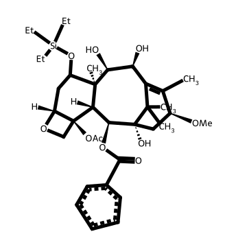 CC[Si](CC)(CC)OC1C[C@H]2OC[C@@]2(OC(C)=O)[C@H]2[C@H](OC(=O)c3ccccc3)[C@]3(O)C[C@H](OC)C(C)=C([C@H](O)[C@H](O)[C@]12C)C3(C)C